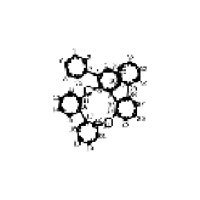 c1ccc(-c2cccc3c2Oc2ccccc2-c2ccccc2Oc2cccc(-c4ccccc4)c2-3)cc1